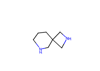 [CH]1NCC12CCCNC2